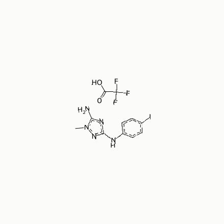 Cn1nc(Nc2ccc(I)cc2)nc1N.O=C(O)C(F)(F)F